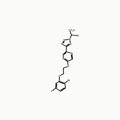 CCC(C(=O)O)n1nnc(-c2cnc(OCCOc3cc(F)ccc3Br)cn2)n1